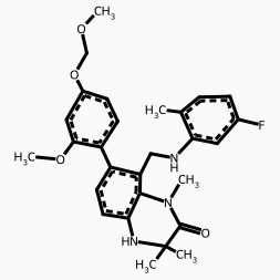 COCOc1ccc(-c2ccc3c(c2CNc2cc(F)ccc2C)N(C)C(=O)C(C)(C)N3)c(OC)c1